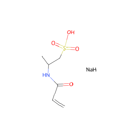 C=CC(=O)NC(C)CS(=O)(=O)O.[NaH]